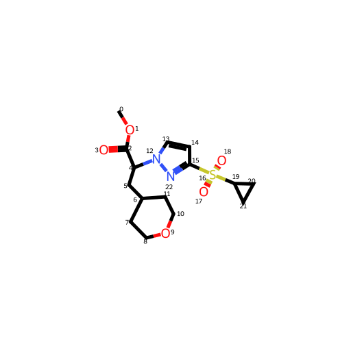 COC(=O)C(CC1CCOCC1)n1ccc(S(=O)(=O)C2CC2)n1